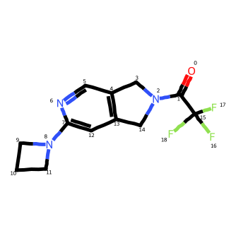 O=C(N1Cc2cnc(N3CCC3)cc2C1)C(F)(F)F